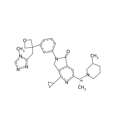 CC1CCCN([C@H](C)c2cc3c(c(C4CC4)n2)CN(c2cccc(C4(Cc5nncn5C)COC4)c2)C3=O)C1